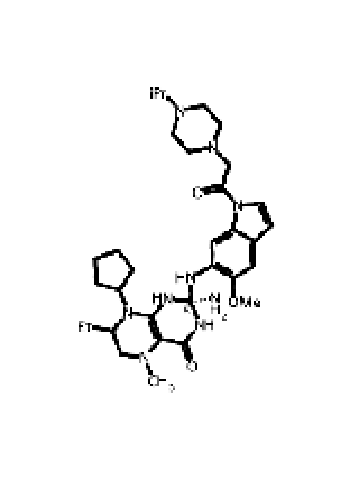 CCC1CN(C)C2=C(N[C@@](N)(Nc3cc4c(ccn4C(=O)CN4CCN(C(C)C)CC4)cc3OC)NC2=O)N1C1CCCC1